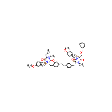 CC[C@@]12SC(c3ccc(OC)cc3)S[C@@](Cc3ccc(CCc4ccc(C[C@]56SC(c7ccc(OC)cc7)S[C@](COCc7ccccc7)(C(=O)N5C)N(C)C6=O)cc4)cc3)(C(=O)N1C)N(C)C2=O